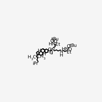 CCC(CCNCCCCN(CCC(CC)NC(=O)OC(C)(C)C)C(=O)O[C@H]1CC[C@@]2(C)C(=CC[C@H]3[C@@H]4CC[C@H]([C@H](C)CCCC(C)C)[C@@]4(C)CC[C@@H]32)C1)NC(=O)OC(C)(C)C